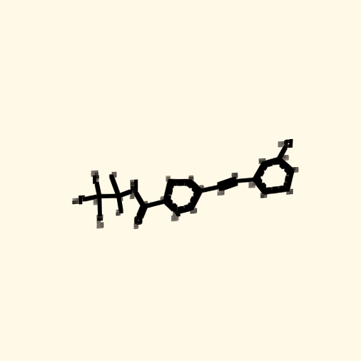 CC(C)(NC(=O)c1ccc(C#Cc2cccc(Cl)c2)cn1)C(F)(F)F